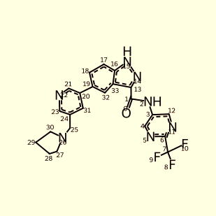 O=C(Nc1cnc(C(F)(F)F)nc1)c1n[nH]c2ccc(-c3cncc(CN4CCCC4)c3)cc12